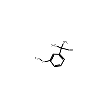 CCCCC(C=O)(c1cccc(OC(F)(F)F)c1)[N+](=O)[O-]